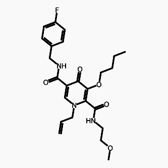 C=CCn1cc(C(=O)NCc2ccc(F)cc2)c(=O)c(OCCCC)c1C(=O)NCCOC